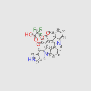 Cn1cc(C2=C(c3c4n(c5ccccc35)CC3CNCC3C4)C(=O)OC2=O)c2ccccc21.O=C(O)C(F)(F)F